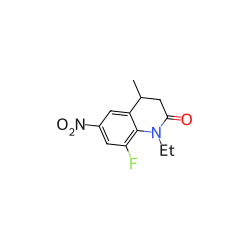 CCN1C(=O)CC(C)c2cc([N+](=O)[O-])cc(F)c21